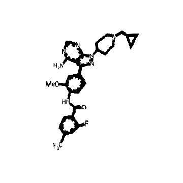 COc1cc(-c2nn(C3CCN(CC4CC4)CC3)c3ncnc(N)c23)ccc1NC(=O)c1ccc(C(F)(F)F)cc1F